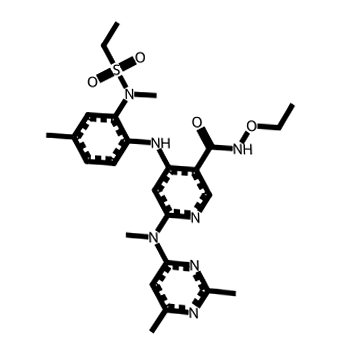 CCONC(=O)c1cnc(N(C)c2cc(C)nc(C)n2)cc1Nc1ccc(C)cc1N(C)S(=O)(=O)CC